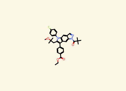 CCOC(=O)c1ccc(-c2c(CC(C)(C)OC)n(-c3ccc(F)cc3)c3cc4cnn(C(=O)C(C)(C)C)c4cc23)cc1